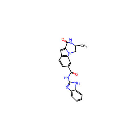 C[C@H]1Cn2c(cc3ccc(C(=O)Nc4nc5ccccc5[nH]4)cc32)C(=O)N1